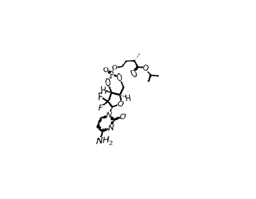 CC(C)OC(=O)[C@@H](C)CCO[P@]1(=O)OC[C@H]2O[C@@H](n3ccc(N)nc3=O)C(F)(F)[C@@H]2O1